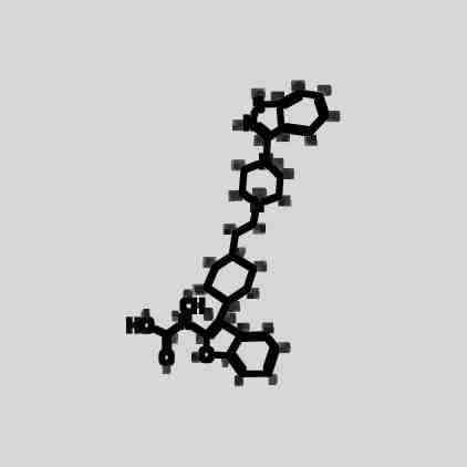 CN(C(=O)O)c1oc2ccccc2c1C1CCC(CCN2CCN(c3nsc4ccccc34)CC2)CC1